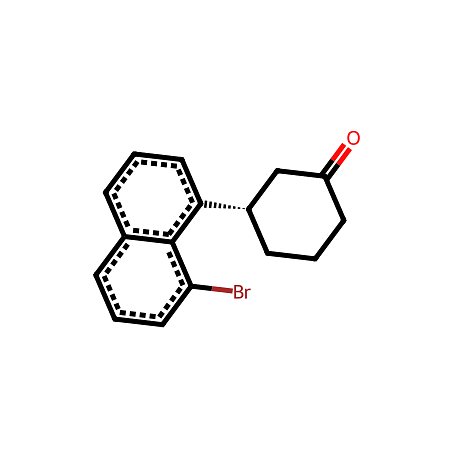 O=C1CCC[C@H](c2cccc3cccc(Br)c23)C1